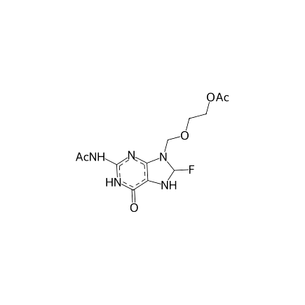 CC(=O)Nc1nc2c(c(=O)[nH]1)NC(F)N2COCCOC(C)=O